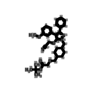 COc1cccc(-c2c(-c3ccccc3)nn(CC3CCC(COCC(=O)OC(C)(C)C)CC3)c2OCC#N)c1